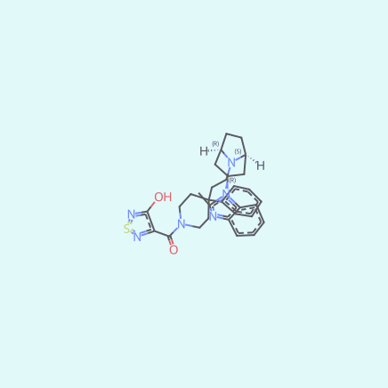 Cc1nc2ccccc2n1[C@H]1C[C@H]2CC[C@@H](C1)N2CCC1(c2ccccc2)CCN(C(=O)c2nsnc2O)CC1